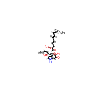 CCCC/C=C\C[C@H]1[C@H](CC(=O)[C@H](O)CCCCCCCC(=O)O)O[C@@]2(O)CC13C(=CC2=O)NC[C@H]3O